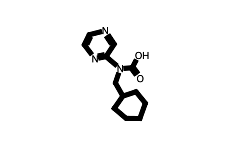 O=C(O)N(CC1CCCCC1)c1cnccn1